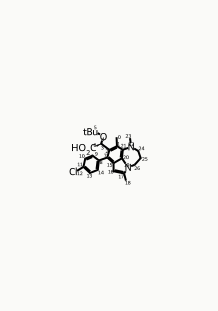 Cc1c([C@H](OC(C)(C)C)C(=O)O)c(-c2ccc(Cl)cc2)c2cc(C)n3c2c1N(C)CCC3